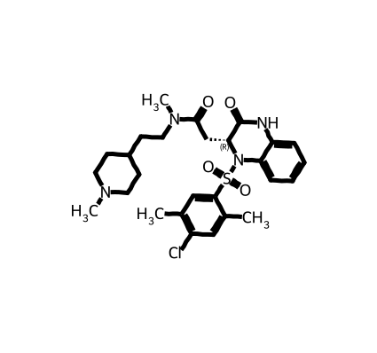 Cc1cc(S(=O)(=O)N2c3ccccc3NC(=O)[C@H]2CC(=O)N(C)CCC2CCN(C)CC2)c(C)cc1Cl